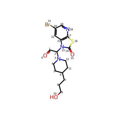 O=CC(N1CCC(CCCO)CC1)n1c(=O)sc2ncc(Br)cc21